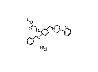 CCOC(=O)COc1cc(CN2CCN(c3ccccn3)CC2)ccc1OCc1ccccc1.Cl.Cl